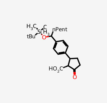 CCCCCC(O[Si](C)(C)C(C)(C)C)c1ccc(C2CCC(=O)C2C(=O)O)cc1